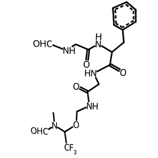 CN(C=O)C(OCNC(=O)CNC(=O)C(Cc1ccccc1)NC(=O)CNC=O)C(F)(F)F